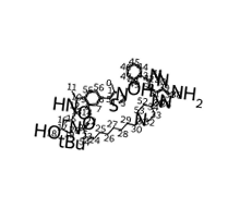 Cc1ncsc1-c1ccc(C(C)NC(=O)[C@@H]2C[C@@H](O)CN2C(=O)C(CCCCCCCN2CCC(n3nc(N)c4nnc(-c5ccccc5O)cc43)CC2)C(C)(C)C)cc1